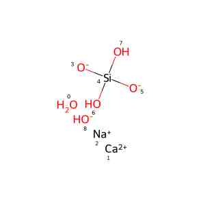 O.[Ca+2].[Na+].[O-][Si]([O-])(O)O.[OH-]